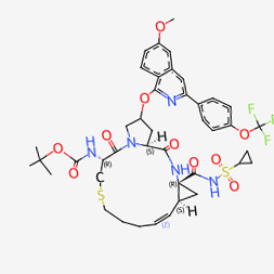 COc1ccc2c(OC3C[C@H]4C(=O)N[C@]5(C(=O)NS(=O)(=O)C6CC6)C[C@H]5/C=C\CCCSC[C@H](NC(=O)OC(C)(C)C)C(=O)N4C3)nc(-c3ccc(OC(F)(F)F)cc3)cc2c1